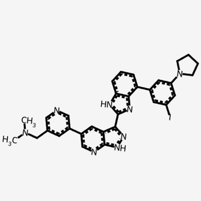 CN(C)Cc1cncc(-c2cnc3[nH]nc(-c4nc5c(-c6cc(I)cc(N7CCCC7)c6)cccc5[nH]4)c3c2)c1